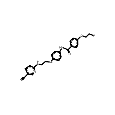 N#Cc1ccc(NCCNc2ccc(NC(=O)c3ccc(OCCF)cc3)cc2)nc1